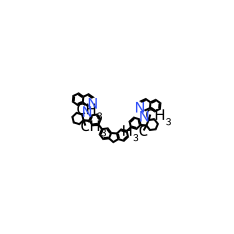 CC12CCCCC1(C)N(c1nccc3ccccc13)c1ccc(-c3ccc4c(c3)-c3cc(-c5ccc6c(c5)C5(C)CCCCC5(C)N6c5nccc6ccccc56)ccc3C4)cc12